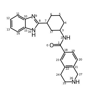 O=C(NC1CCCC(c2nc3ccccc3[nH]2)C1)c1ccc2c(c1)CCNC2